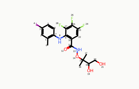 Cc1cc(I)ccc1Nc1c(C(=O)NOC(C)(C)C(O)CO)cc(F)c(F)c1F